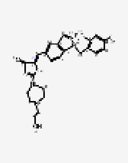 O=C1N=C(N2CCN(CCO)CC2)S/C1=C\c1ccc2c(cnn2Cc2ccc(Cl)cc2C(F)(F)F)c1